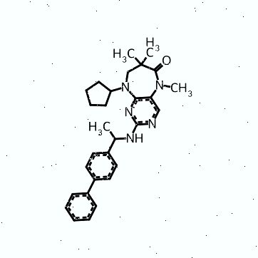 CC(Nc1ncc2c(n1)N(C1CCCC1)CC(C)(C)C(=O)N2C)c1ccc(-c2ccccc2)cc1